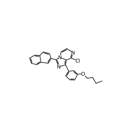 CCCCOc1cccc(-c2nc(-c3ccc4ccccc4c3)n3ccnc(Cl)c23)c1